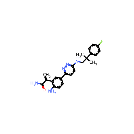 C=C(C(N)=O)c1cc(-c2ccc(NCC(C)(C)c3ccc(F)cc3)nn2)ccc1N